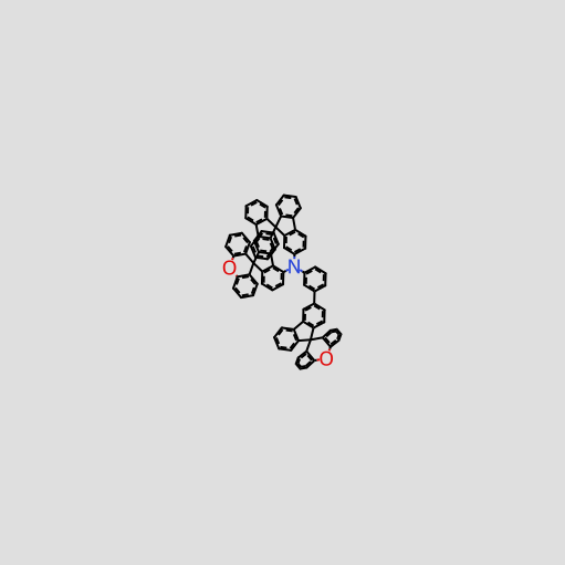 c1cc(-c2ccc3c(c2)-c2ccccc2C32c3ccccc3Oc3ccccc32)cc(N(c2ccc3c(c2)C2(c4ccccc4-c4ccccc42)c2ccccc2-3)c2cccc3c2-c2ccccc2C32c3ccccc3Oc3ccccc32)c1